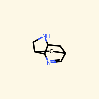 C1=NC2C3CNC2CC1C3